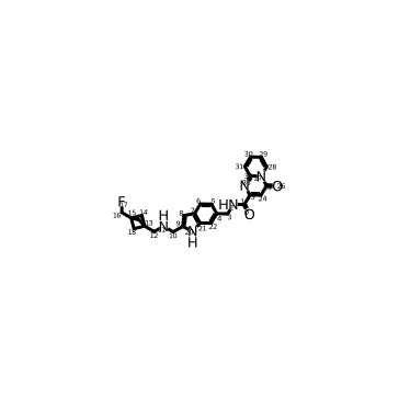 O=C(NCc1ccc2cc(CNCC34CC(CF)(C3)C4)[nH]c2c1)c1cc(=O)n2ccccc2n1